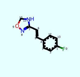 Fc1ccc(/C=C/C2=NOCN2)cc1